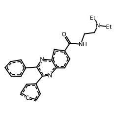 CCN(CC)CCNC(=O)c1ccc2nc(-c3ccccc3)c(-c3ccccc3)nc2c1